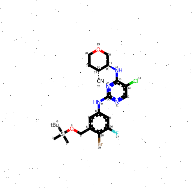 CC(C)(C)[Si](C)(C)OCc1cc(Nc2ncc(Cl)c(N[C@@H]3COCC[C@H]3C#N)n2)cc(F)c1Br